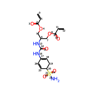 C=CC(=O)OCC(COC(=O)C=C)NC(=O)NC1=CCC(S(N)(=O)=O)C=C1